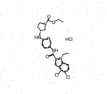 CCOC(=O)N1CC[C@H](Nc2ccc(NC(=O)c3cc4c(Cl)c(Cl)ccc4n3CC)cn2)C1.Cl